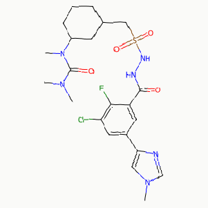 CN(C)C(=O)N(C)C1CCCC(CS(=O)(=O)NNC(=O)c2cc(-c3cn(C)cn3)cc(Cl)c2F)C1